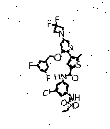 CCS(=O)(=O)Nc1cc(Cl)cc(NC(=O)c2cc(-c3ncc(N4CC(F)(F)C4)cc3OCc3cc(F)cc(F)c3)c(C)s2)c1